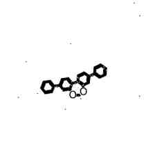 c1ccc(-c2ccc3c(c2)OCOc2cc(-c4ccccc4)ccc2-3)cc1